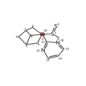 CS(=S)N1CC2CC(C1)C2Oc1ncccn1